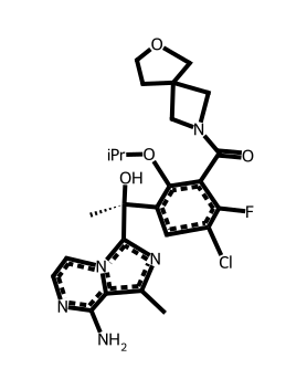 Cc1nc([C@@](C)(O)c2cc(Cl)c(F)c(C(=O)N3CC4(CCOC4)C3)c2OC(C)C)n2ccnc(N)c12